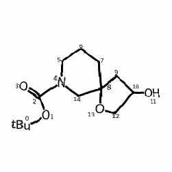 CC(C)(C)OC(=O)N1CCCC2(CC(O)CO2)C1